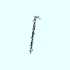 NCCOCCOCCOCCOCCOCCOCCOCCOSI